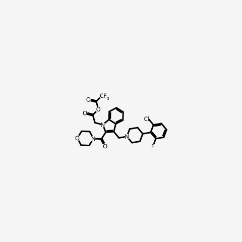 O=C(Cn1c(C(=O)N2CCOCC2)c(CN2CCC(c3c(F)cccc3Cl)CC2)c2ccccc21)OC(=O)C(F)(F)F